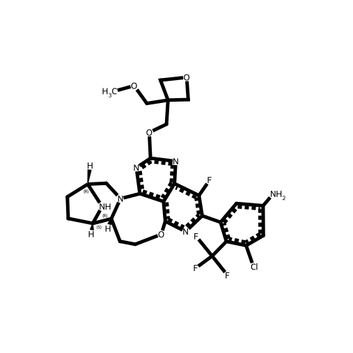 COCC1(COc2nc3c4c(nc(-c5cc(N)cc(Cl)c5C(F)(F)F)c(F)c4n2)OCC[C@@H]2[C@@H]4CC[C@H](CN32)N4)COC1